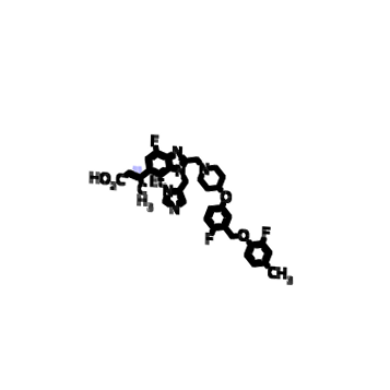 CCn1cncc1Cn1c(CN2CCC(Oc3ccc(F)c(COc4ccc(C)cc4F)c3)CC2)nc2c(F)cc(/C(C)=C/C(=O)O)cc21